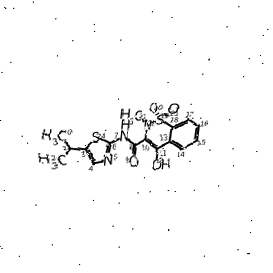 CC(C)c1cnc(NC(=O)C2=C(O)c3ccccc3S(=O)(=O)N2C)s1